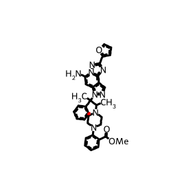 COC(=O)c1ccccc1N1CCN(C(C)C(C)(c2ccccc2)n2ncc3c2cc(N)n2nc(-c4ccco4)nc32)CC1